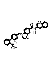 O=C(O)C1=CC=C=C=C1c1ccc(CN2CCOc3cc(C(=O)NC4COc5ccccc5C4)ccc32)cc1